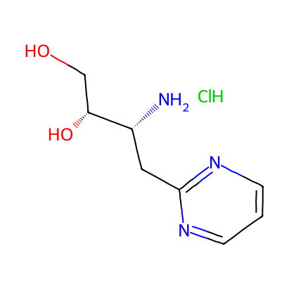 Cl.N[C@H](Cc1ncccn1)[C@H](O)CO